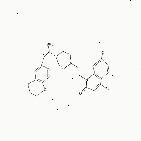 BN(Cc1ccc2c(c1)OCCO2)C1CCN(CCn2c(=O)cc(C)c3ccc(Cl)cc32)CC1